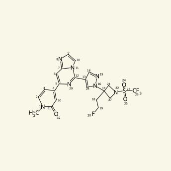 Cn1ccc(-c2cc3nccn3c(-c3cnn(C4(CCF)CN(S(=O)(=O)C(F)(F)F)C4)c3)n2)cc1=O